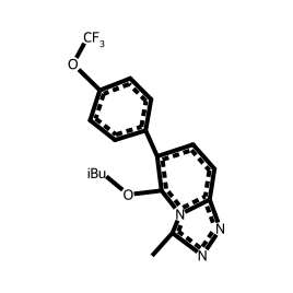 CCC(C)Oc1c(-c2ccc(OC(F)(F)F)cc2)ccc2nnc(C)n12